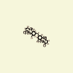 CCc1cc(Cc2cc(C)c(NN3C(=O)C=CC3=O)c(CC)c2)cc(C)c1NN1C(=O)C=CC1=O